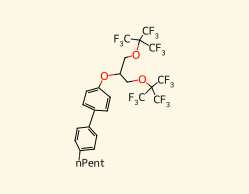 CCCCCc1ccc(-c2ccc(OC(COC(C(F)(F)F)(C(F)(F)F)C(F)(F)F)COC(C(F)(F)F)(C(F)(F)F)C(F)(F)F)cc2)cc1